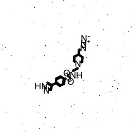 [N-]=[N+]=NCC1CCN(CCNS(=O)(=O)c2ccc(-c3cn[nH]c3)cc2)CC1